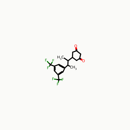 CC(c1cc(C(F)(F)F)cc(C(F)(F)F)c1)C(C)C1CC(=O)CC(=O)C1